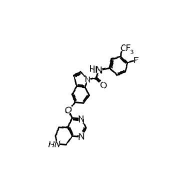 O=C(Nc1ccc(F)c(C(F)(F)F)c1)n1ccc2cc(Oc3ncnc4c3CCNC4)ccc21